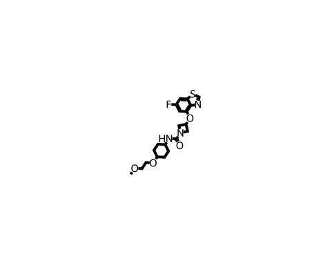 COCCOC1CCC(NC(=O)N2CC(Oc3cc(F)cc4scnc34)C2)CC1